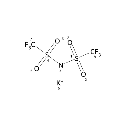 O=S(=O)([N-]S(=O)(=O)C(F)(F)F)C(F)(F)F.[K+]